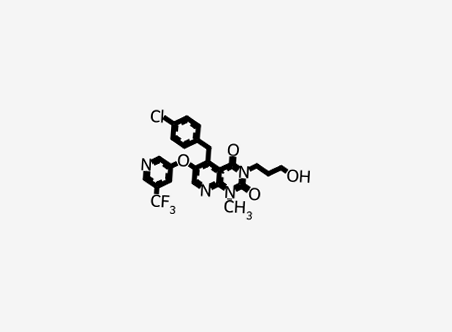 Cn1c(=O)n(CCCO)c(=O)c2c(Cc3ccc(Cl)cc3)c(Oc3cncc(C(F)(F)F)c3)cnc21